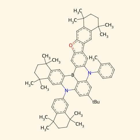 Cc1ccccc1N1c2cc3c(cc2B2c4cc5c(cc4N(c4ccc6c(c4)C(C)(C)CCC6(C)C)c4cc(C(C)(C)C)cc1c42)C(C)(C)CCC5(C)C)oc1cc2c(cc13)C(C)(C)CCC2(C)C